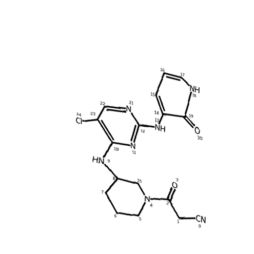 N#CCC(=O)N1CCCC(Nc2nc(Nc3ccc[nH]c3=O)ncc2Cl)C1